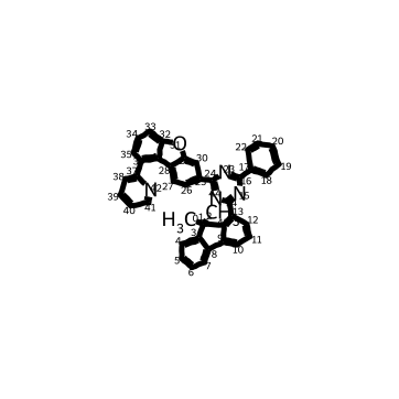 CC1(C)c2ccccc2-c2cccc(-c3nc(-c4ccccc4)nc(-c4ccc5c(c4)oc4cccc(-c6ccccn6)c45)n3)c21